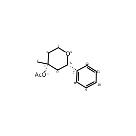 CC(=O)O[C@]1(C)CCO[C@H](c2ccccc2)C1